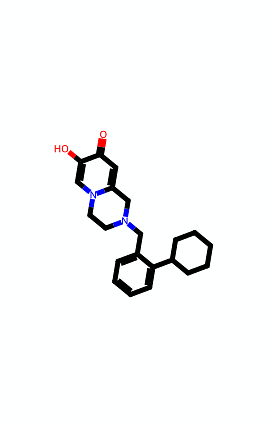 O=c1cc2n(cc1O)CCN(Cc1ccccc1C1CCCCC1)C2